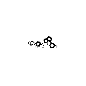 Fc1cccc(-c2cccc3cnc(Nc4ccc(N5CCOCC5)nc4)nc23)c1